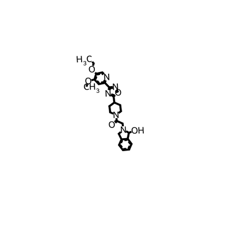 CCOc1cnc(-c2noc(C3CCN(C(=O)CN4Cc5ccccc5C4O)CC3)n2)cc1OC